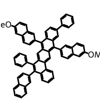 COc1ccc2cc(-c3c4ccc(-c5ccccc5)cc4c(-c4ccc5cc(OC)ccc5c4)c4cc5c(cc34)c(-c3ccccc3)c(-c3ccc4ccccc4c3)c3ccccc35)ccc2c1